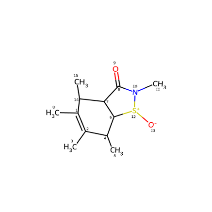 CC1=C(C)C(C)C2C(C(=O)N(C)[S+]2[O-])C1C